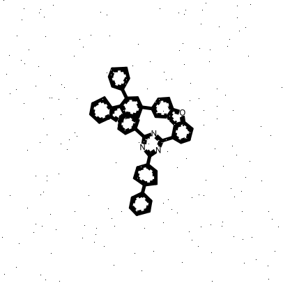 c1ccc(-c2ccc(-c3nc(-c4ccccc4)nc(-c4cccc5oc6ccc(-c7cc(-c8ccccc8)c8c(c7)sc7ccccc78)cc6c45)n3)cc2)cc1